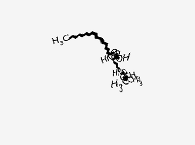 CCCCCCCC/C=C\CCCCCCCC(=O)N[C@H](CCCCNC(=O)OC(C)(C)C)C(=O)O